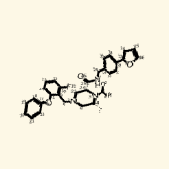 CC(C)C(=O)N1[C@H](C)CN(Cc2c(F)cccc2Oc2ccccc2)C[C@@H]1C(=O)NCc1ccc(-c2ccco2)cc1